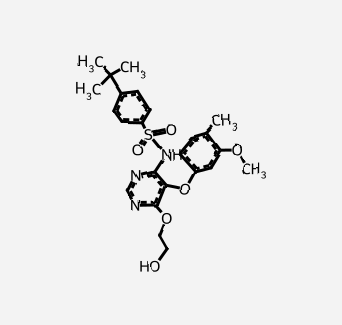 COc1cc(Oc2c(NS(=O)(=O)c3ccc(C(C)(C)C)cc3)ncnc2OCCO)ccc1C